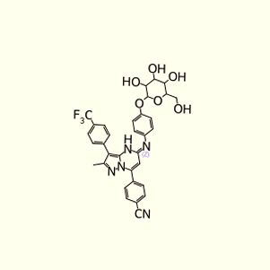 Cc1nn2c(-c3ccc(C#N)cc3)c/c(=N/c3ccc(OC4OC(CO)C(O)C(O)C4O)cc3)[nH]c2c1-c1ccc(C(F)(F)F)cc1